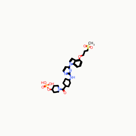 CS(=O)(=O)CCCOc1cccc2c1ccn2-c1ccnc(NC2CCC(C(=O)N3CCC(OP(=O)(O)O)CC3)CC2)n1